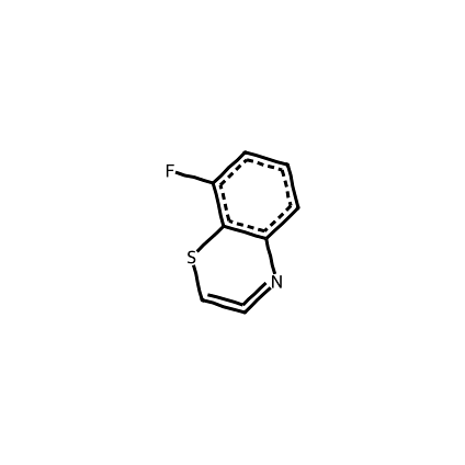 Fc1cccc2c1SC=C=N2